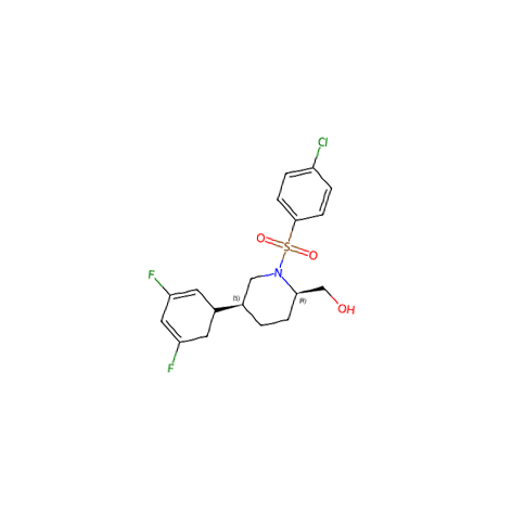 O=S(=O)(c1ccc(Cl)cc1)N1C[C@H](C2C=C(F)C=C(F)C2)CC[C@@H]1CO